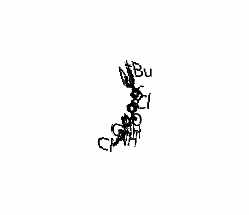 CC(C)(C)c1cc(-c2csc(-c3ccc(C(=O)N4CCC[C@@H](NC(=O)NCCCl)C4)cc3Cl)c2)ccn1